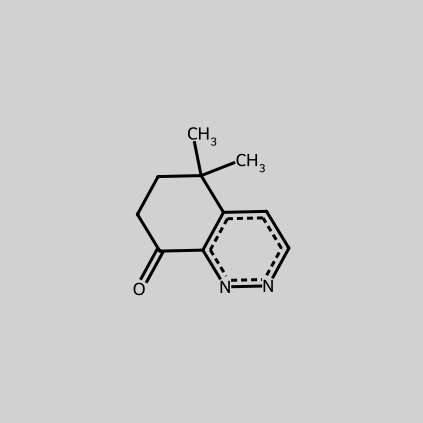 CC1(C)CCC(=O)c2nnccc21